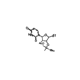 CCC1OC(n2ccc(=O)[nH]c2=O)C(OC(C)=O)C1O[Si](C)(C)C(C)(C)C